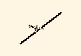 CCCCCCCCC=CCCCCCCCC(=O)OCC(COCCCCCCCCCCCCCC)NC(=O)OCCN(C)C